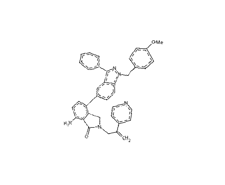 C=C(CN1Cc2c(-c3ccc4c(c3)c(-c3ccccc3)nn4Cc3ccc(OC)cc3)ccc(N)c2C1=O)c1ccncc1